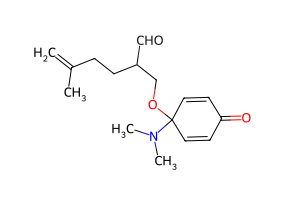 C=C(C)CCC(C=O)COC1(N(C)C)C=CC(=O)C=C1